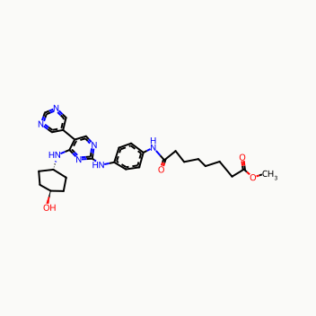 COC(=O)CCCCCCC(=O)Nc1ccc(Nc2ncc(-c3cncnc3)c(N[C@H]3CC[C@H](O)CC3)n2)cc1